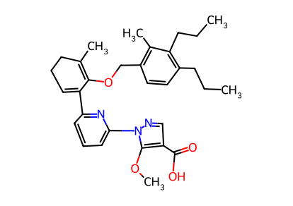 CCCc1ccc(COC2=C(C)CCC=C2c2cccc(-n3ncc(C(=O)O)c3OC)n2)c(C)c1CCC